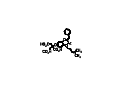 CC(=O)C(=Cc1ccccc1)Oc1ccccc1OCCCN(C)C.O=C(O)CC(O)(CC(=O)O)C(=O)O